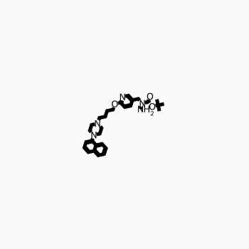 CC(C)(C)OC(=O)N(N)Cc1ccc(OCCCCN2CCN(c3cccc4ccccc34)CC2)nc1